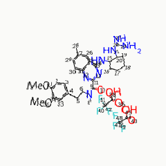 COc1ccc(CCN(C)C(=O)c2nc(NC3CCCCC3NC(=N)N)c3cc(C)ccc3n2)cc1OC.O=C(O)C(F)(F)F.O=C(O)C(F)(F)F